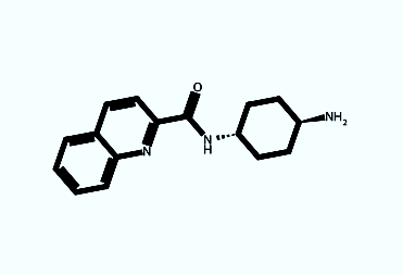 N[C@H]1CC[C@H](NC(=O)c2ccc3ccccc3n2)CC1